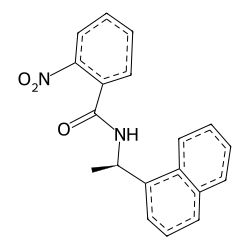 C[C@@H](NC(=O)c1ccccc1[N+](=O)[O-])c1cccc2ccccc12